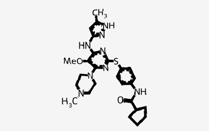 COc1c(Nc2cc(C)[nH]n2)nc(Sc2ccc(NC(=O)C3CCCC3)cc2)nc1N1CCN(C)CC1